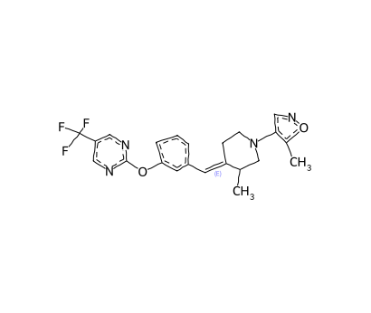 Cc1oncc1N1CC/C(=C\c2cccc(Oc3ncc(C(F)(F)F)cn3)c2)C(C)C1